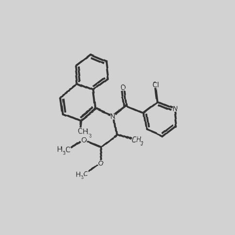 COC(OC)C(C)N(C(=O)c1cccnc1Cl)c1c(C)ccc2ccccc12